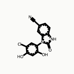 N#Cc1ccc2[nH]c(=O)n(-c3cc(Cl)c(O)cc3O)c2c1